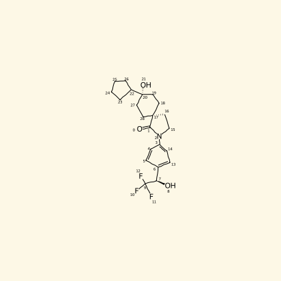 O=C1N(c2ccc([C@@H](O)C(F)(F)F)cc2)CC[C@]12CC[C@](O)(C1CCCC1)CC2